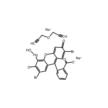 C#CCOCC#C.O=C([O-])c1ccccc1-c1c2cc(Br)c(=O)cc-2oc2[c]([Hg][OH])c([O-])c(Br)cc12.[Na+].[Na+]